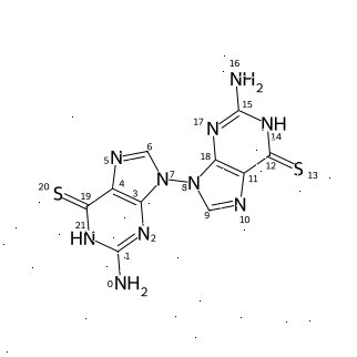 Nc1nc2c(ncn2-n2cnc3c(=S)[nH]c(N)nc32)c(=S)[nH]1